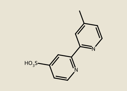 Cc1ccnc(-c2cc(S(=O)(=O)O)ccn2)c1